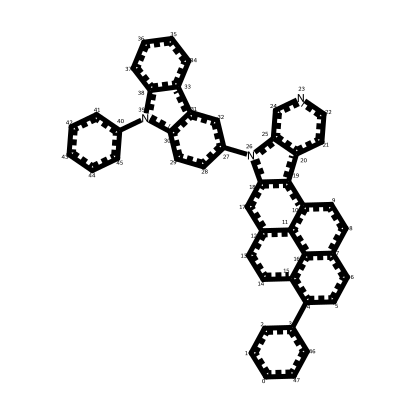 c1ccc(-c2ccc3ccc4c5c(ccc2c35)cc2c4c3ccncc3n2-c2ccc3c(c2)c2ccccc2n3-c2ccccc2)cc1